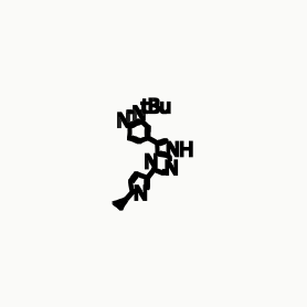 CC(C)(C)n1cnc2ccc(-c3c[nH]c4ncc(-c5ccc(C6CC6)nc5)nc34)cc21